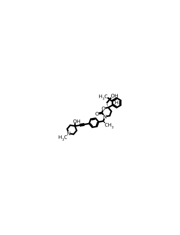 C[C@@H](c1ccc(C#CC2(O)CCN(C)CC2)cc1)N1CC[C@](CC(C)(C)O)(c2ccccc2)OC1=O